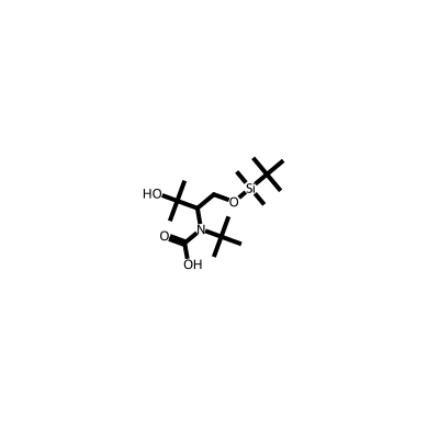 CC(C)(O)C(CO[Si](C)(C)C(C)(C)C)N(C(=O)O)C(C)(C)C